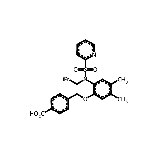 Cc1cc(OCc2ccc(C(=O)O)cc2)c(N(CC(C)C)S(=O)(=O)c2ccccn2)cc1C